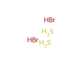 Br.Br.S.S